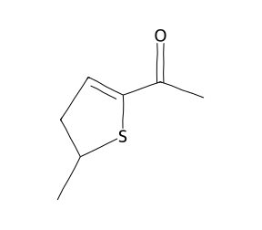 CC(=O)C1=CCC(C)S1